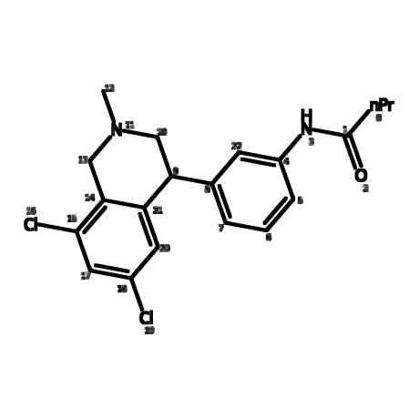 CCCC(=O)Nc1cccc(C2CN(C)Cc3c(Cl)cc(Cl)cc32)c1